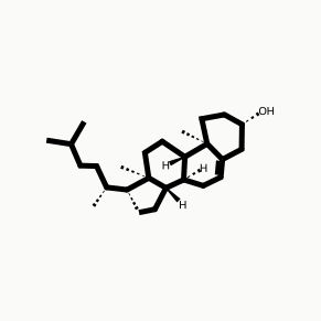 CC(C)CC[C@@H](C)[C@H]1CC[C@H]2[C@@H]3CC=C4C[C@@H](O)CC[C@]4(C)[C@H]3CC[C@]12C